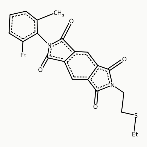 CCSCCn1c(=O)c2cc3c(=O)n(-c4c(C)cccc4CC)c(=O)c3cc2c1=O